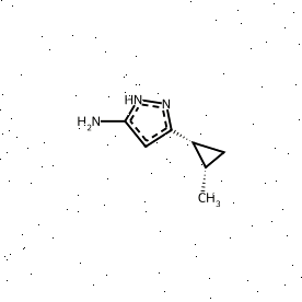 C[C@H]1C[C@H]1c1cc(N)[nH]n1